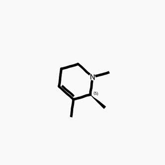 CC1=CCCN(C)[C@H]1C